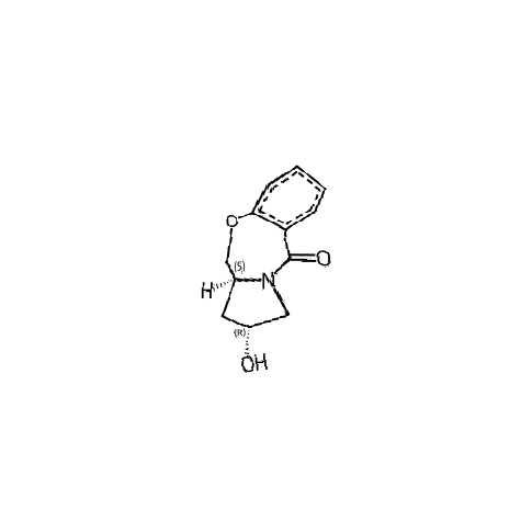 O=C1c2ccccc2OC[C@@H]2C[C@@H](O)CN12